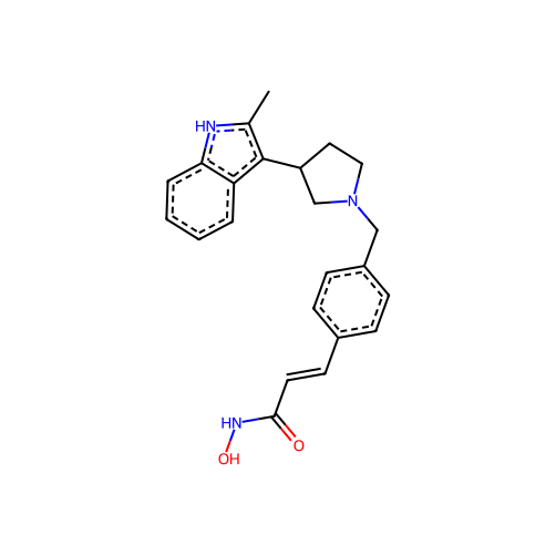 Cc1[nH]c2ccccc2c1C1CCN(Cc2ccc(C=CC(=O)NO)cc2)C1